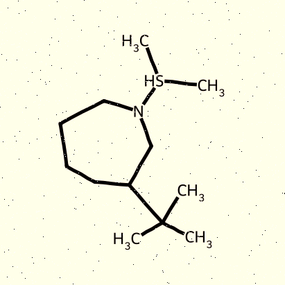 C[SH](C)N1CCCCC(C(C)(C)C)C1